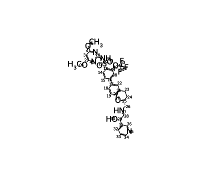 COc1cc(OC)nc(NS(=O)(=O)c2ccc(-c3ccc4c(c3)CC[C@H](CNC[C@@H](O)c3cccnc3)O4)cc2OC(F)(F)F)n1